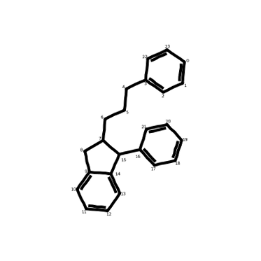 c1ccc(CCCC2Cc3ccccc3C2c2ccccc2)cc1